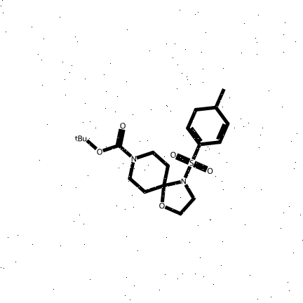 CC1C=CC(S(=O)(=O)N2CCOC23CCN(C(=O)OC(C)(C)C)CC3)=CC1